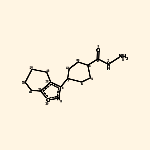 NNC(=O)C1CCC(c2noc3c2CCCC3)CC1